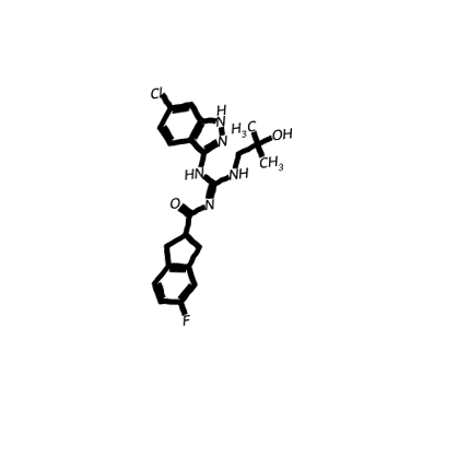 CC(C)(O)CN/C(=N/C(=O)C1Cc2ccc(F)cc2C1)Nc1n[nH]c2cc(Cl)ccc12